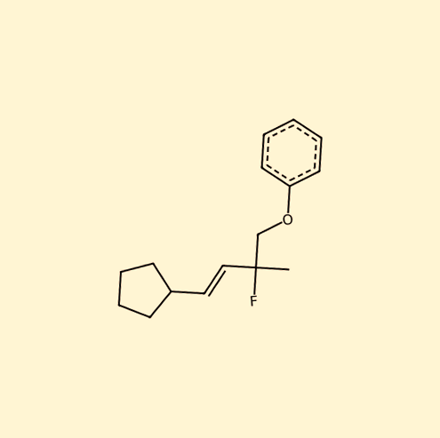 CC(F)(/C=C/C1CCCC1)COc1ccccc1